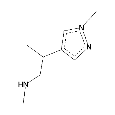 CNCC(C)c1cnn(C)c1